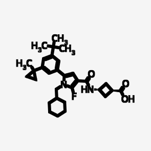 CC(C)(C)c1cc(-c2cc(C(=O)N[C@H]3C[C@H](C(=O)O)C3)c(F)n2CC2CCCCC2)cc(C2(C)CC2)c1